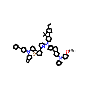 C=Cc1ccc2c(c1)C(C)(C)c1cc(N(c3ccc4c(ccc5cc(N(c6ccccc6)c6cccc(OC(C)(C)C)c6)ccc54)c3)c3cccc(-c4cccc5sc6c(N(c7ccc(-c8ccccc8)cc7)c7ccc8c(c7)CC8)cccc6c45)n3)ccc1-2